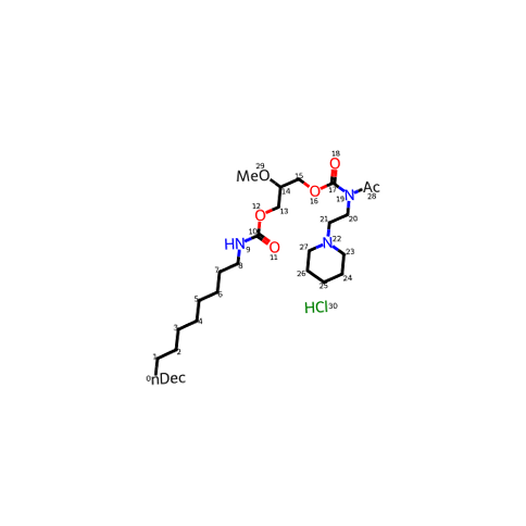 CCCCCCCCCCCCCCCCCCNC(=O)OCC(COC(=O)N(CCN1CCCCC1)C(C)=O)OC.Cl